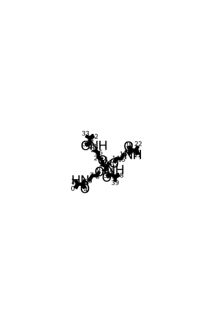 C=C(C)C(=O)NCCCOCC(COCCCNC(=O)C(=C)C)(COCCCNC(=O)C(=C)C)NC(=O)C(=C)C